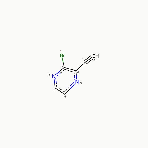 C#Cc1nccnc1Br